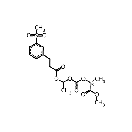 COC(=O)[C@@H](C)OC(=O)OC(C)OC(=O)CCc1cccc(S(C)(=O)=O)c1